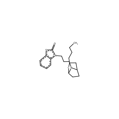 CCCCC1CC2CCC(C1)N2CCCn1c(=O)sc2ccccc21